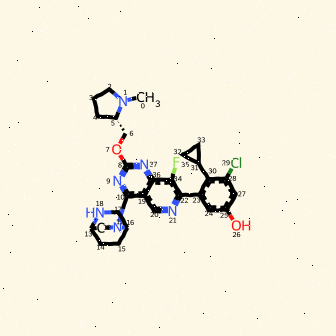 CN1CCC[C@H]1COc1nc(N2CC3CCC2CN3)c2cnc(-c3cc(O)cc(Cl)c3C3CC3)c(F)c2n1